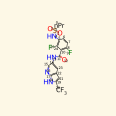 CCCS(=O)(=O)Nc1ccc(F)c(C(=O)Nc2cnc3[nH]c(C(F)(F)F)cc3c2)c1F